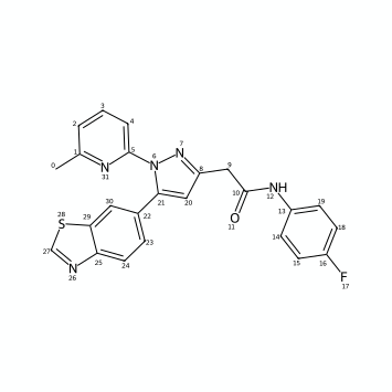 Cc1cccc(-n2nc(CC(=O)Nc3ccc(F)cc3)cc2-c2ccc3ncsc3c2)n1